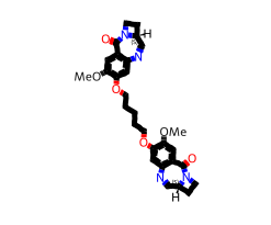 COc1cc2c(cc1OCCCCCOc1cc3c(cc1OC)C(=O)N1CC[C@H]1C=N3)N=C[C@@H]1CCN1C2=O